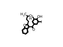 CC(O)CCc1oc2ccccc2c1C(=O)c1cc(I)c(O)c(I)c1